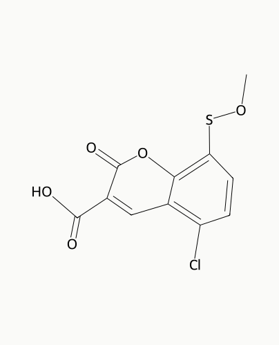 COSc1ccc(Cl)c2cc(C(=O)O)c(=O)oc12